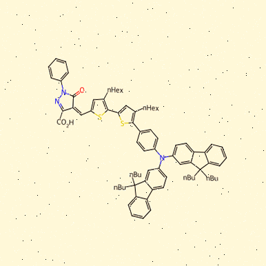 CCCCCCc1cc(-c2sc(/C=C3\C(=O)N(c4ccccc4)N=C3C(=O)O)cc2CCCCCC)sc1-c1ccc(N(c2ccc3c(c2)C(CCCC)(CCCC)c2ccccc2-3)c2ccc3c(c2)C(CCCC)(CCCC)c2ccccc2-3)cc1